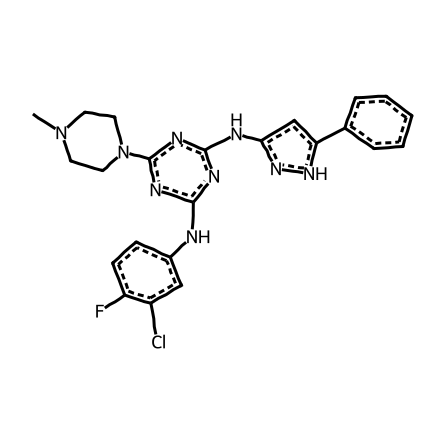 CN1CCN(c2nc(Nc3ccc(F)c(Cl)c3)nc(Nc3cc(-c4ccccc4)[nH]n3)n2)CC1